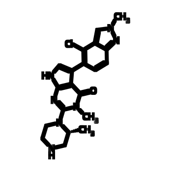 C[C@@H]1CNCCN1c1nc2[nH]cc(-c3ccc4nn(C)cc4c3Cl)c2c(=O)n1C